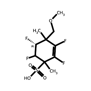 COCC1(C)C(F)=C(F)C(C)(S(=O)(=O)O)C(F)[C@@H]1F